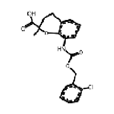 CC1(C(=O)O)CCc2cccc(NC(=O)OCc3ccccc3Cl)c2O1